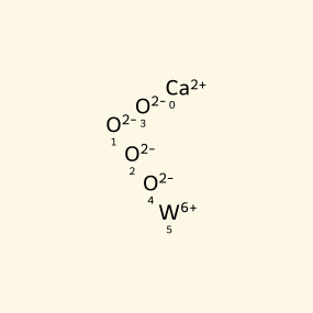 [Ca+2].[O-2].[O-2].[O-2].[O-2].[W+6]